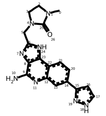 CN1CCN(Cc2nc3c(N)nc4cc(-c5cc[nH]n5)ccc4c3[nH]2)C1=O